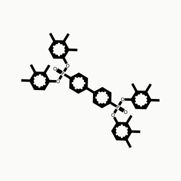 Cc1ccc(OP(=O)(Oc2ccc(C)c(C)c2C)c2ccc(-c3ccc(P(=O)(Oc4ccc(C)c(C)c4C)Oc4ccc(C)c(C)c4C)cc3)cc2)c(C)c1C